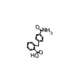 NC(=O)c1ccc(Cc2ccccc2C(=O)O)cc1